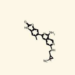 Cc1cc2[nH]c(=O)oc2cc1-c1cc2cc(NCC3C[C@H]3C#N)ncc2c(N)n1